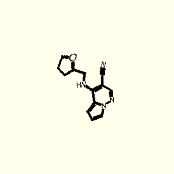 N#Cc1cnn2cccc2c1NCC1CCCO1